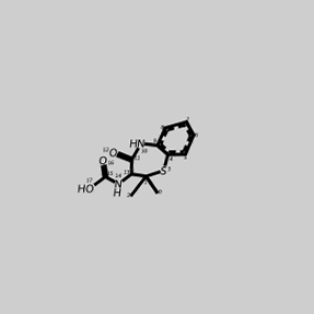 CC1(C)Sc2ccccc2NC(=O)C1NC(=O)O